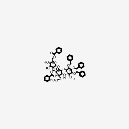 CCCCCCCCO[C@@H]1O[C@H](COC(=O)c2ccccc2)[C@@H](O[C@@H]2O[C@H](COC(=O)c3ccccc3)[C@H](O)[C@H](O)[C@H]2O)[C@H](O[C@@H]2O[C@@H](C)[C@@H](OCc3ccccc3)[C@@H](OCc3ccccc3)[C@@H]2OCc2ccccc2)[C@H]1O